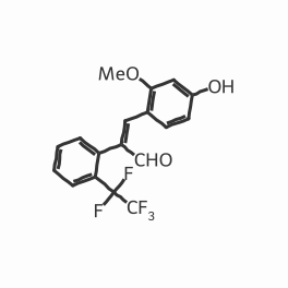 COc1cc(O)ccc1/C=C(\C=O)c1ccccc1C(F)(F)C(F)(F)F